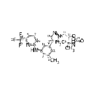 Cc1cc(Nc2nccc(C(F)(F)F)n2)cc(-c2cnn(C[C@@H]3OC(=O)NC3(C)C)c2)c1